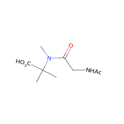 CC(=O)NCC(=O)N(C)C(C)(C)C(=O)O